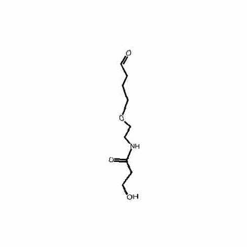 O=CCCCOCCNC(=O)CCO